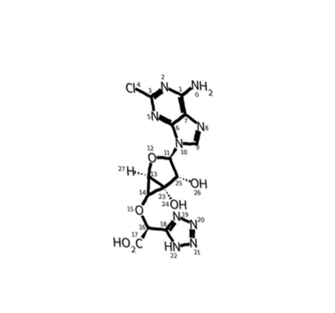 Nc1nc(Cl)nc2c1ncn2[C@@H]1O[C@@H]2C(O[C@H](C(=O)O)c3nnn[nH]3)[C@]2(O)[C@H]1O